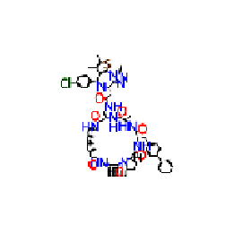 Cc1sc2c(c1C)C(c1ccc(Cl)cc1)=N[C@@H](CC(=O)NC[C@H]1NC(=O)[C@@H](C)NC(=O)[C@@H](Cc3ccc(-c4ccccc4)cc3)NC(=O)[C@@H]3CCCN3C(=O)C(C(C)(C)C)NC(=O)CCCCNC1=O)c1nnc(C)n1-2